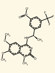 COc1cc2c(N[C@H](C)c3cc([N+](=O)[O-])cc(C(F)(F)F)c3)nc(=O)n(C)c2cc1OC